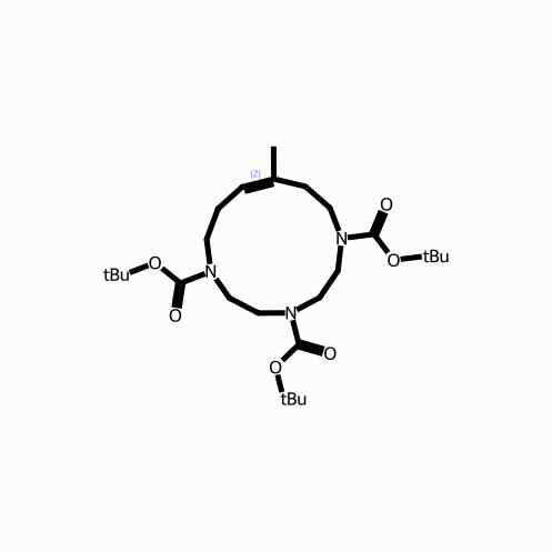 C/C1=C/CCN(C(=O)OC(C)(C)C)CCN(C(=O)OC(C)(C)C)CCN(C(=O)OC(C)(C)C)CC1